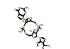 C=N/C(N)=C1/N=CN([C@@H]2O[C@@H]3COP(=O)(O)O[C@@H]4[C@H](N)[C@@H](COP(=O)(O)O[C@@H]2[C@@H]3O)O[C@H]4n2cnc3c(=O)[nH]c(N)nc32)/C1=N/C